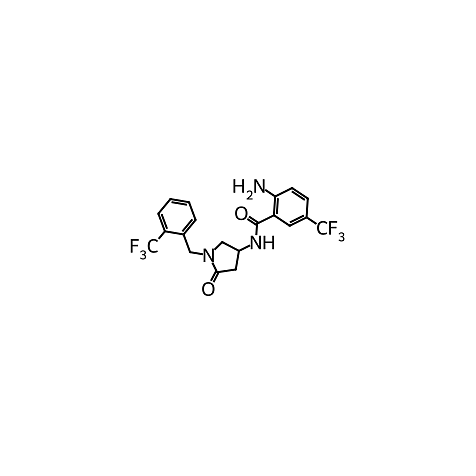 Nc1ccc(C(F)(F)F)cc1C(=O)NC1CC(=O)N(Cc2ccccc2C(F)(F)F)C1